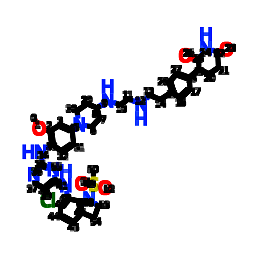 COc1cc(N2CCC(NCCNCCc3ccc(C4CCC(=O)NC4=O)cc3)CC2)ccc1Nc1ncc(Cl)c(Nc2cccc3c2N(S(C)(=O)=O)CC3)n1